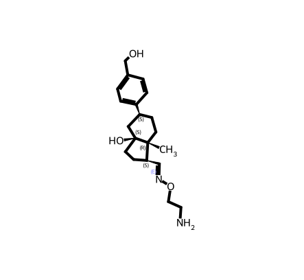 C[C@]12CC[C@H](c3ccc(CO)cc3)C[C@@]1(O)CC[C@@H]2/C=N/OCCN